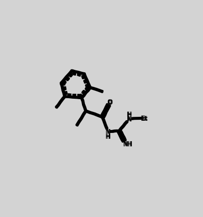 CCNC(=N)NC(=O)C(C)c1c(C)cccc1C